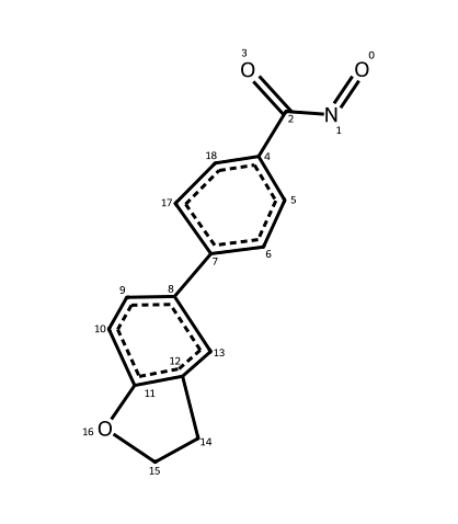 O=NC(=O)c1ccc(-c2ccc3c(c2)CCO3)cc1